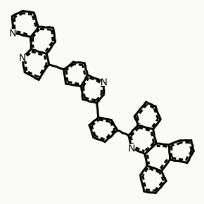 c1cc(-c2cnc3ccc(-c4ccnc5c4ccc4cccnc45)cc3c2)cc(-c2nc3c4ccccc4c4ccccc4c3c3ccccc23)c1